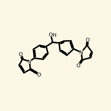 O=C1C=CC(=O)N1c1ccc(C(O)c2ccc(N3C(=O)C=CC3=O)cc2)cc1